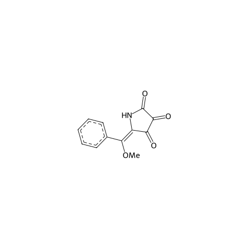 COC(=C1NC(=O)C(=O)C1=O)c1ccccc1